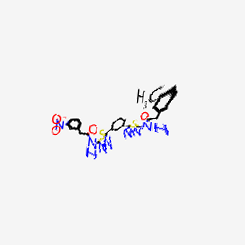 Cc1cccc(CC(=O)Nc2nnc([C@H]3CCC[C@H](c4nnc(NC(=O)Cc5cccc([N+](=O)[O-])c5)s4)C3)s2)c1